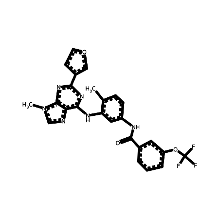 Cc1ccc(NC(=O)c2cccc(OC(F)(F)F)c2)cc1Nc1nc(-c2ccoc2)nc2c1ncn2C